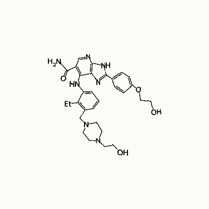 CCc1c(CN2CCN(CCO)CC2)cccc1Nc1c(C(N)=O)cnc2[nH]c(-c3ccc(OCCO)cc3)nc12